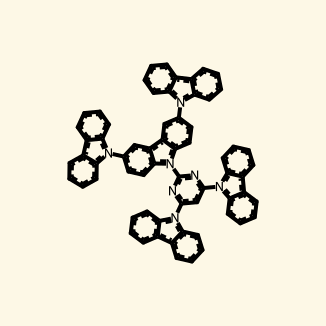 c1ccc2c(c1)c1ccccc1n2-c1ccc2c(c1)c1cc(-n3c4ccccc4c4ccccc43)ccc1n2-c1nc(-n2c3ccccc3c3ccccc32)cc(-n2c3ccccc3c3ccccc32)n1